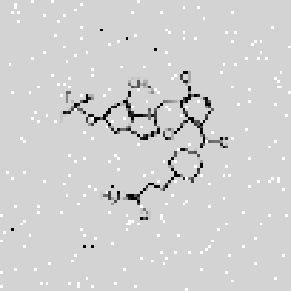 C=C(O)CCC1CCN(C(=O)c2ccc(Cl)c(Cn3ccc4cc(OC(F)(F)F)cc(C)c43)c2Cl)CC1